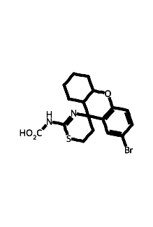 O=C(O)NC1=NC2(CCS1)c1cc(Br)ccc1OC1CCCCC12